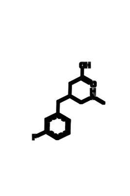 CNCC(CC(=O)O)Cc1cccc(F)c1